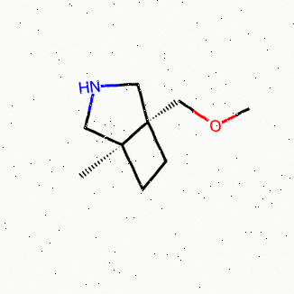 COC[C@]12CC[C@@]1(C)CNC2